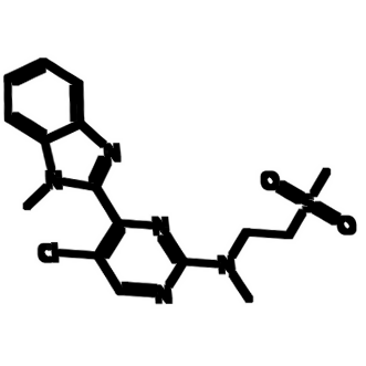 CN(CCS(C)(=O)=O)c1ncc(Cl)c(-c2nc3ccccc3n2C)n1